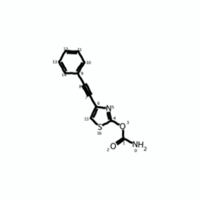 NC(=O)Oc1nc(C#Cc2ccccc2)cs1